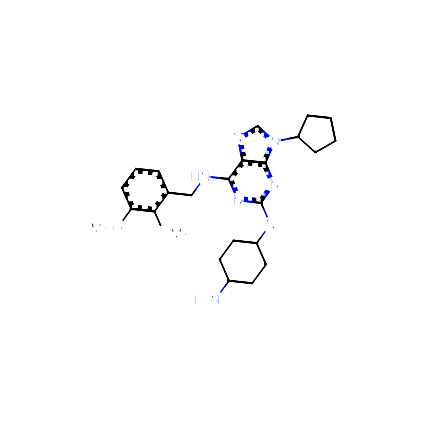 COc1cccc(CNc2nc(NC3CCC(N)CC3)nc3c2ncn3C2CCCC2)c1OC